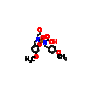 COc1ccc(CN(CC=O)S(=O)(=O)N(Cc2ccc(OC)cc2)C(=O)O)cc1